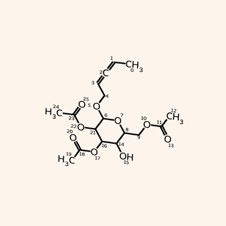 CC=C=CCOC1OC(COC(C)=O)C(O)C(OC(C)=O)C1OC(C)=O